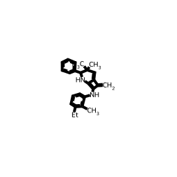 C=C1C2=CC(C)(C)C(c3ccccc3)NC2=C1Nc1cccc(CC)c1C